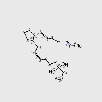 CCCC/C=C/CC/C=C/[C@H]1CCC[C@@H]1C/C=C\CCCC(O)(O)COC(C)=O